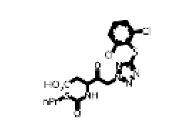 CCCSC(=O)NC(CC(=O)O)C(=O)Cn1nnc(Sc2c(Cl)cccc2Cl)n1